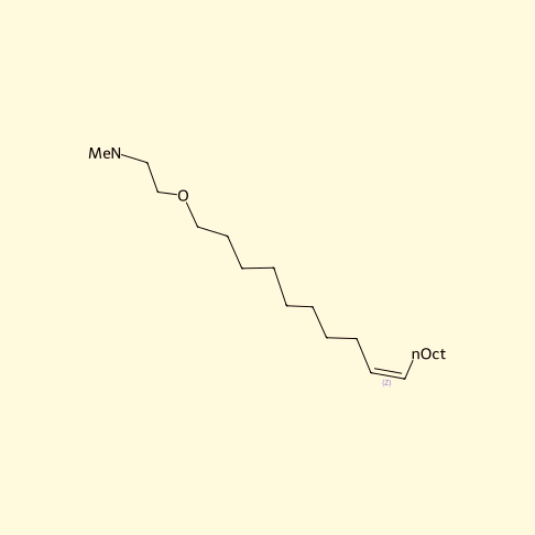 CCCCCCCC/C=C\CCCCCCCCOCCNC